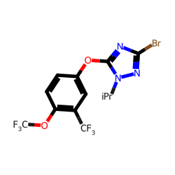 CC(C)n1nc(Br)nc1Oc1ccc(OC(F)(F)F)c(C(F)(F)F)c1